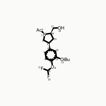 CC(=O)N1C[C@H](c2ccc(OC(F)F)c(OCC(C)C)c2)C[C@@H]1CO